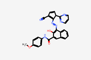 COc1ccc(NC(=O)c2cc3ccccc3c(/N=N/C3=C(C#N)C=CC3c3ncccn3)c2O)cc1